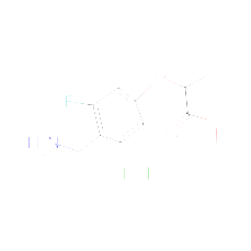 COC(=O)C(C)Oc1ccc(CN)c(F)c1.Cl